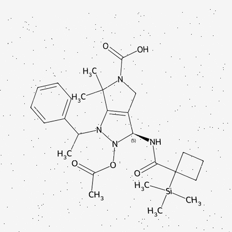 CC(=O)ON1[C@H](NC(=O)C2([Si](C)(C)C)CCC2)C2=C(N1C(C)c1ccccc1)C(C)(C)N(C(=O)O)C2